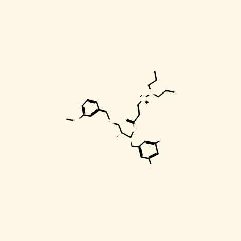 CCCN(CCC)S(=O)(=O)CCC(=O)N[C@@H](Cc1cc(Cl)cc(Cl)c1)[C@@H](O)CNCc1cccc(OC)c1